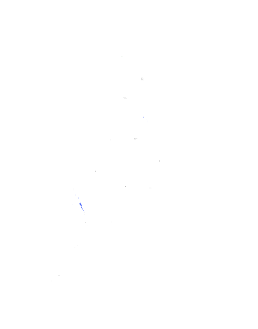 CC(C)(C)OC(=O)[C@@H](N)Cc1ccc(N(CCCl)CCCl)cc1